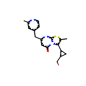 Cc1sc2nc(Cc3ccnc(C#N)c3)cc(=O)n2c1C1CC1CO